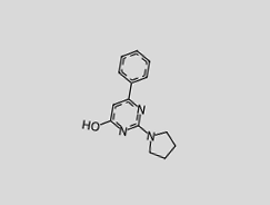 Oc1cc(-c2ccccc2)nc(N2CCCC2)n1